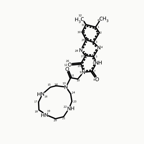 Cc1cc2nc3[nH]c(=O)n(CC(=O)N4CCNCCNCCNCC4)c(=O)c3nc2cc1C